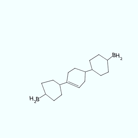 BC1CCC(C2=CCC(C3CCC(B)CC3)CC2)CC1